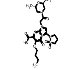 CCCCOc1c(C(=O)S)nc2n(CC(=O)N3C[C@H](C)O[C@@H](C)C3)cc(N3CCCS3(=O)=O)n2c1=O